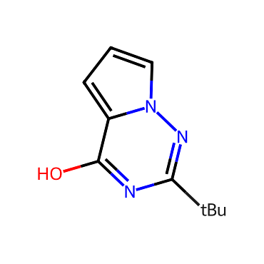 CC(C)(C)c1nc(O)c2cccn2n1